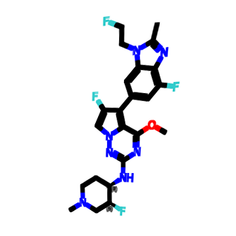 COc1nc(N[C@@H]2CCN(C)C[C@@H]2F)nn2cc(F)c(-c3cc(F)c4nc(C)n(CCF)c4c3)c12